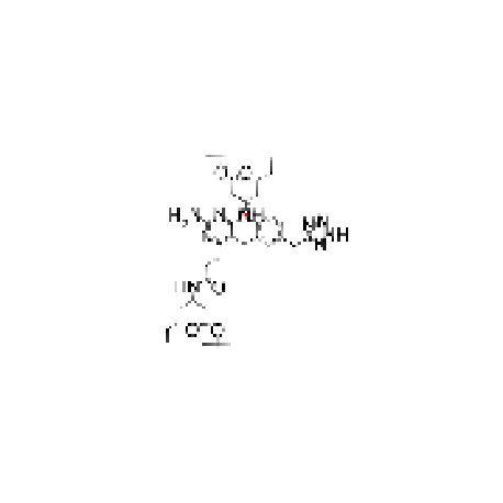 CCCCC(CC(=O)OC(C)(C)C)NC(=O)CCc1nc(N)nc(NC(CCCC)CC(=O)OC(C)(C)C)c1Cc1cc(Cc2nn[nH]n2)ccc1OC